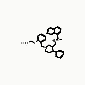 C[C@@H](NCC1CN(Cc2ccccc2OCC(=O)O)CCC1c1ccccc1)c1cccc2ccccc12